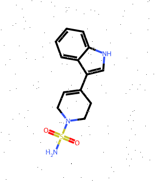 NS(=O)(=O)N1CC=C(c2c[nH]c3ccccc23)CC1